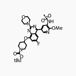 COc1ncc(-c2nc(N3CCOCC3)nc3c(OC4CCN(C(=O)OC(C)(C)C)CC4)cc(F)cc23)cc1NS(C)(=O)=O